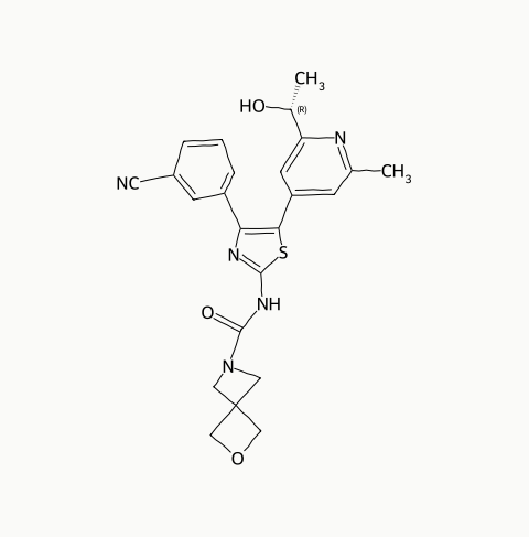 Cc1cc(-c2sc(NC(=O)N3CC4(COC4)C3)nc2-c2cccc(C#N)c2)cc([C@@H](C)O)n1